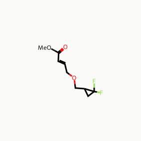 COC(=O)/C=C/COCC1CC1(F)F